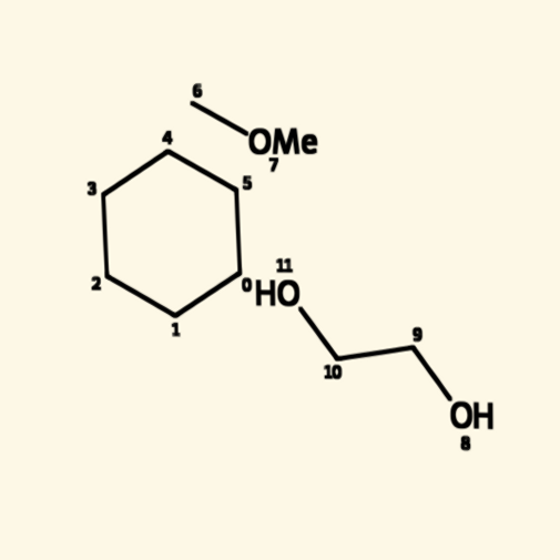 C1CCCCC1.COC.OCCO